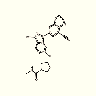 CNC(=O)[C@@H]1CC[C@@H](Nc2ncc3c(Br)nn(-c4cc(C#N)c5ncccc5c4)c3n2)C1